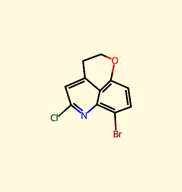 Clc1cc2c3c(ccc(Br)c3n1)OCC2